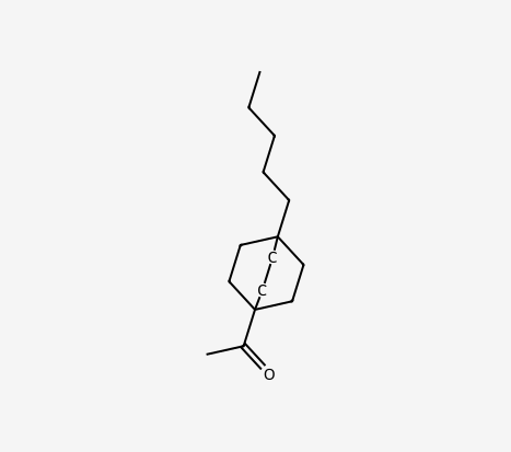 CCCCCC12CCC(C(C)=O)(CC1)CC2